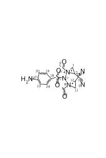 N#CC1C[N+]1(C=O)N([N+]1(C=O)CC1C#N)S(=O)(=O)c1ccc(N)cc1